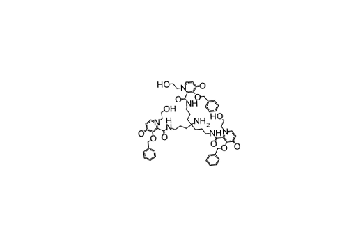 NC(CCCNC(=O)c1c(OCc2ccccc2)c(=O)ccn1CCO)(CCCNC(=O)c1c(OCc2ccccc2)c(=O)ccn1CCO)CCCNC(=O)c1c(OCc2ccccc2)c(=O)ccn1CCO